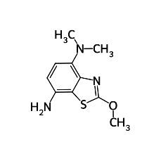 COc1nc2c(N(C)C)ccc(N)c2s1